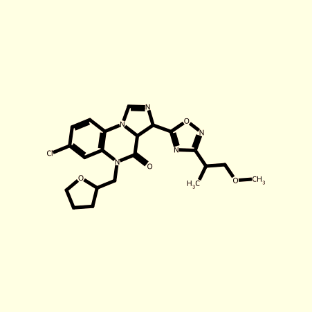 COCC(C)c1noc(C2N=CN3c4ccc(Cl)cc4N(CC4CCCO4)C(=O)C23)n1